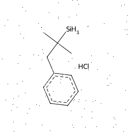 CC(C)([SiH3])Cc1ccccc1.Cl